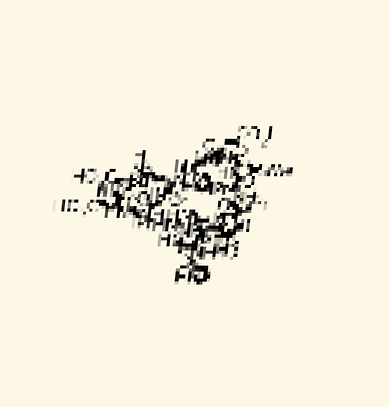 CC[C@H](C)[C@H](NC(=O)[C@H](CCC(=O)O)NC(=O)[C@@H](NC(=O)CNC(=O)[C@H](CCCCN)NC(=O)[C@@H]1CCCN1C(=O)[C@H](C)NC(=O)[C@H](CCC(=O)O)NC(=O)[C@H](CCSC)NC(=O)[C@@H](NC(=O)[C@H](CC(C)C)NC(=O)[C@H](CO)NC(=O)[C@H](CCCNC(=N)N)NC(=O)[C@@H](NC(=O)[C@@H]1CCCN1)[C@@H](C)O)C(C)C)C(C)C)C(=O)O